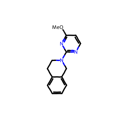 COc1ccnc(N2CCc3ccccc3C2)n1